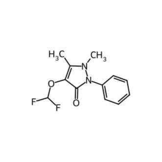 Cc1c(OC(F)F)c(=O)n(-c2ccccc2)n1C